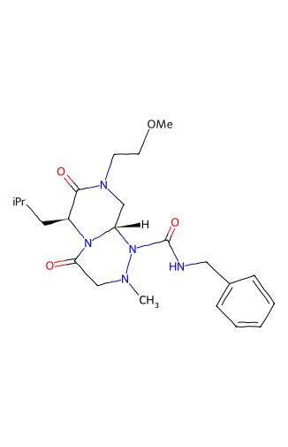 COCCN1C[C@H]2N(C(=O)CN(C)N2C(=O)NCc2ccccc2)[C@@H](CC(C)C)C1=O